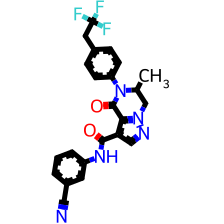 CC1Cn2ncc(C(=O)Nc3cccc(C#N)c3)c2C(=O)N1c1ccc(CC(F)(F)F)cc1